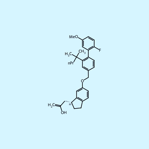 C=C(O)C[C@H]1CCc2ccc(OCc3ccc(-c4cc(OC)ccc4F)c(C(C)(C)CCC)c3)cc21